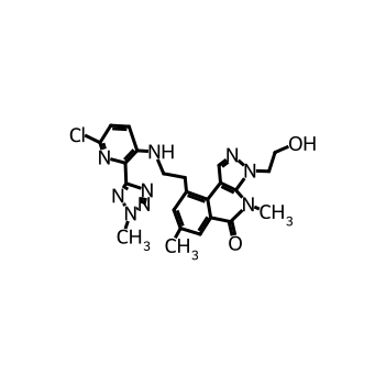 Cc1cc(CCNc2ccc(Cl)nc2-c2nnn(C)n2)c2c(c1)c(=O)n(C)c1c2cnn1CCO